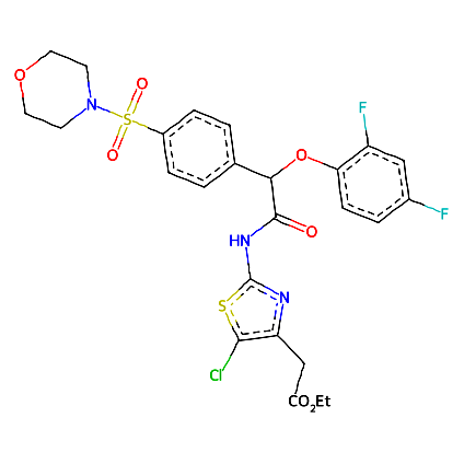 CCOC(=O)Cc1nc(NC(=O)C(Oc2ccc(F)cc2F)c2ccc(S(=O)(=O)N3CCOCC3)cc2)sc1Cl